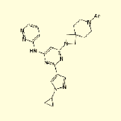 CC(=O)N1CCC2(CC1)CN(c1cc(Nc3cccnn3)nc(-c3cnn(C4CC4)c3)n1)C2